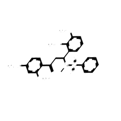 C=C(CC(c1cccc(OC)c1OC)N(C)S(=O)(=O)c1ccccc1)c1ccc(OC)cc1OC